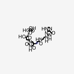 O=C(/C=C/c1cn([C@H]2CC(O)[C@@H](COP(=O)(O)O)O2)c(=O)[nH]c1=O)NCCNc1nc2[nH]cnc2c(=O)[nH]1